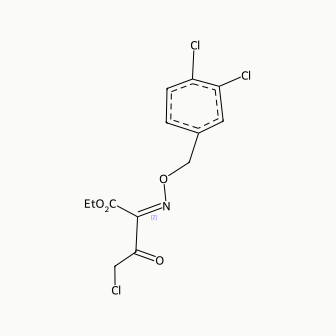 CCOC(=O)/C(=N\OCc1ccc(Cl)c(Cl)c1)C(=O)CCl